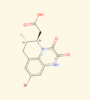 C[C@H]1Cc2cc(Br)cc3[nH]c(=O)c(=O)n(c23)[C@@H]1CC(=O)O